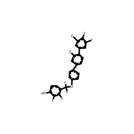 CCCc1ccc(C(F)(F)Oc2ccc(-c3ccc(-c4cc(F)c(F)c(F)c4)c(F)c3)cc2)c(F)c1F